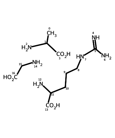 CC(N)C(=O)O.N=C(N)NCCCC(N)C(=O)O.NCC(=O)O